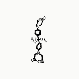 CC(C)(c1ccc(N(CC2CO2)CC2CO2)cc1)c1ccc(N(CC2CO2)CC2CO2)cc1